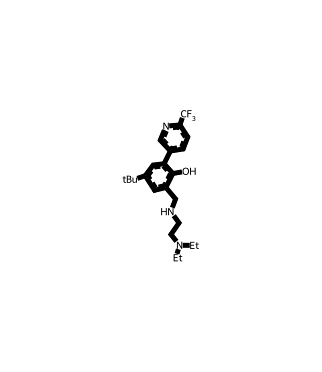 CCN(CC)CCNCc1cc(C(C)(C)C)cc(-c2ccc(C(F)(F)F)nc2)c1O